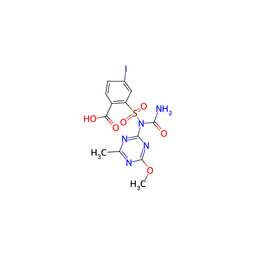 COc1nc(C)nc(N(C(N)=O)S(=O)(=O)c2cc(I)ccc2C(=O)O)n1